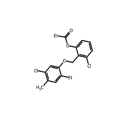 CCC(=O)Oc1cccc(Cl)c1COc1cc(Cl)c(C)cc1CC